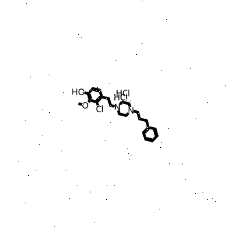 COc1c(O)ccc(CCN2CCN(CCCc3ccccc3)CC2)c1Cl.Cl.Cl